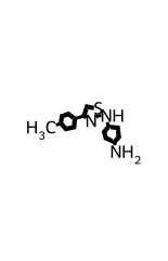 Cc1ccc(-c2csc(Nc3ccc(N)cc3)n2)cc1